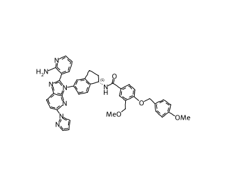 COCc1cc(C(=O)N[C@H]2CCc3cc(-n4c(-c5cccnc5N)nc5ccc(-n6cccn6)nc54)ccc32)ccc1OCc1ccc(OC)cc1